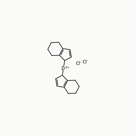 C1=C[CH]([Zr+2][CH]2C=CC3=C2CCCC3)C2=C1CCCC2.[Cl-].[Cl-]